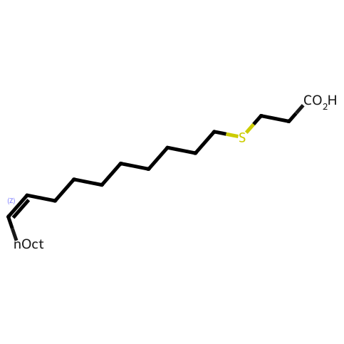 CCCCCCCC/C=C\CCCCCCCCSCCC(=O)O